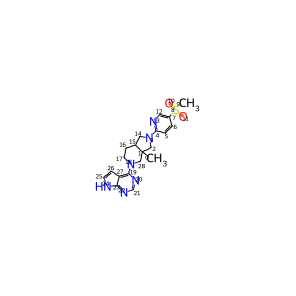 CC12CN(c3ccc(S(C)(=O)=O)cn3)CC1CCN(c1ncnc3[nH]ccc13)C2